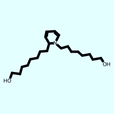 OCCCCCCCCC1C=CC=CN1CCCCCCCCO